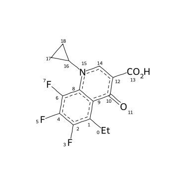 CCc1c(F)c(F)c(F)c2c1c(=O)c(C(=O)O)cn2C1CC1